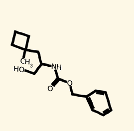 CC1(CC(CO)NC(=O)OCc2ccccc2)CCC1